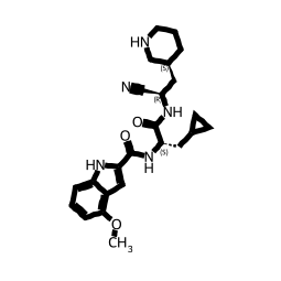 COc1cccc2[nH]c(C(=O)N[C@@H](CC3CC3)C(=O)N[C@@H](C#N)C[C@@H]3CCCNC3)cc12